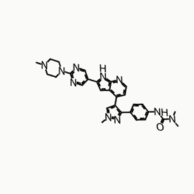 CN1CCN(c2ncc(-c3cc4c(-c5cn(C)nc5-c5ccc(NC(=O)N(C)C)cc5)ccnc4[nH]3)cn2)CC1